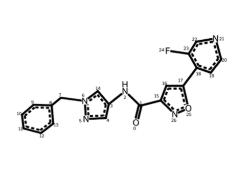 O=C(Nc1cnn(Cc2ccccc2)c1)c1cc(-c2ccncc2F)on1